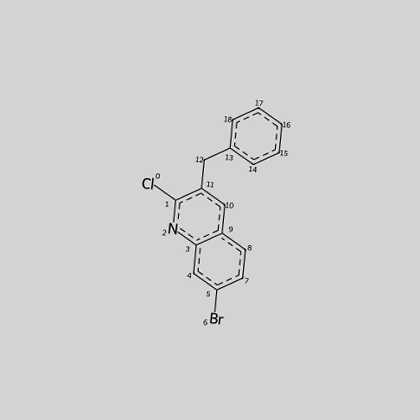 Clc1nc2cc(Br)ccc2cc1Cc1ccccc1